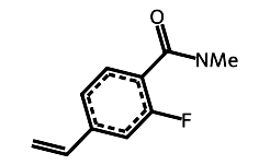 C=Cc1ccc(C(=O)NC)c(F)c1